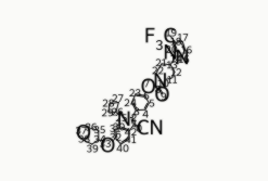 N#Cc1c(-c2ccc(OC(=O)N3CCC(c4nccc(C(F)(F)F)n4)CC3)cc2)n(C2CCC2)c2cc(OC3CCOCC3)ccc12